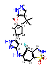 CC(C)(C)c1cn[nH]c1O[C@@H]1CC[C@H](c2cc(Nc3ccc4c(c3F)CNS4(=O)=O)n[nH]2)C1